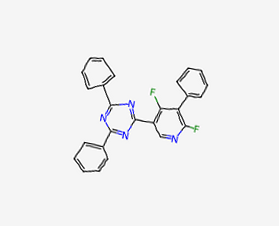 Fc1ncc(-c2nc(-c3ccccc3)nc(-c3ccccc3)n2)c(F)c1-c1ccccc1